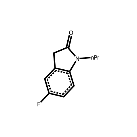 CCCN1C(=O)Cc2cc(F)ccc21